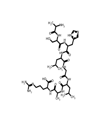 CC(C)CC(NC(=O)CNC(=O)C(CC(C)C)NC(=O)C(Cc1cnc[nH]1)NC(=O)C(CO)NC(=O)C(C)N)C(=O)NC(C)C(=O)NC(CCCN=C(N)N)C(=O)O